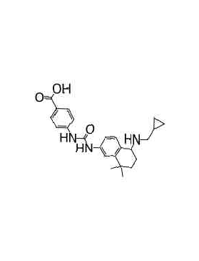 CC1(C)CCC(NCC2CC2)c2ccc(NC(=O)Nc3ccc(C(=O)O)cc3)cc21